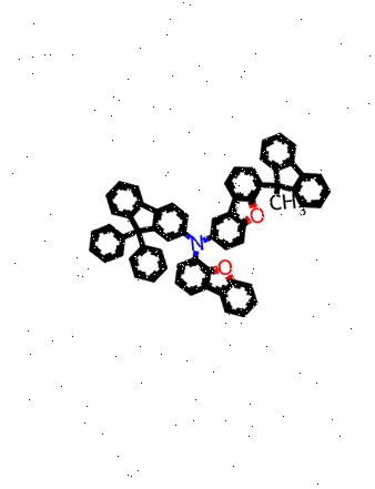 CC1(c2cccc3c2oc2ccc(N(c4ccc5c(c4)C(c4ccccc4)(c4ccccc4)c4ccccc4-5)c4cccc5c4oc4ccccc45)cc23)c2ccccc2-c2ccccc21